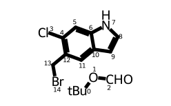 CC(C)(C)OC=O.Clc1cc2[nH]ccc2cc1CBr